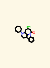 Cl.O=C1CCCC2c3c(c4ccccc4n31)CCN2C1C=CCCCC1